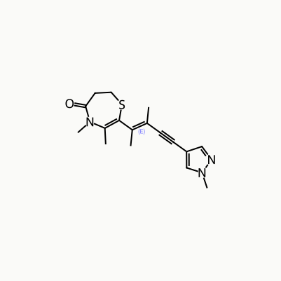 CC1=C(/C(C)=C(\C)C#Cc2cnn(C)c2)SCCC(=O)N1C